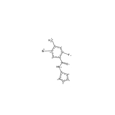 Cc1cc(F)c(C(=O)Nc2ccon2)cc1Br